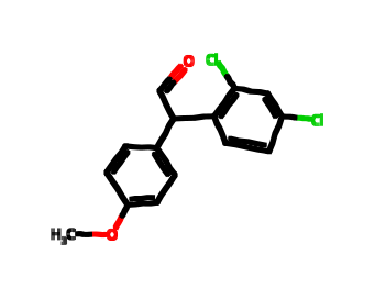 COc1ccc(C(C=O)c2ccc(Cl)cc2Cl)cc1